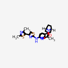 C/C(C#N)=C1/C[C@H]2CC[C@@H](C1)N2C(=O)c1ccc(Nc2nc(-c3sc(C)nc3C)cs2)nc1